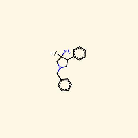 CC1(N)CN(Cc2ccccc2)CC1c1ccccc1